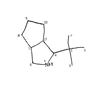 CC(C)(C)C1NCC2CCCC21